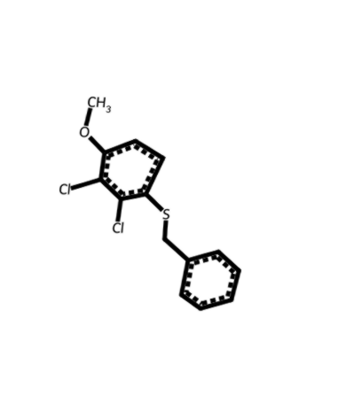 COc1ccc(SCc2ccccc2)c(Cl)c1Cl